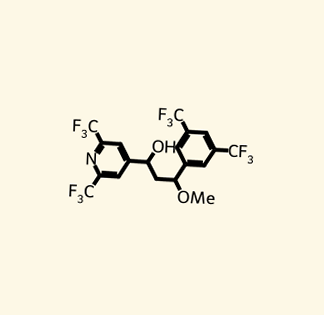 COC(CC(O)c1cc(C(F)(F)F)nc(C(F)(F)F)c1)c1cc(C(F)(F)F)cc(C(F)(F)F)c1